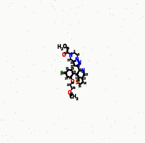 C=CC(=O)N1CCn2nc(-c3n[c]c4ccsc4c3-c3ccc(F)cc3OCCOC)cc2C1